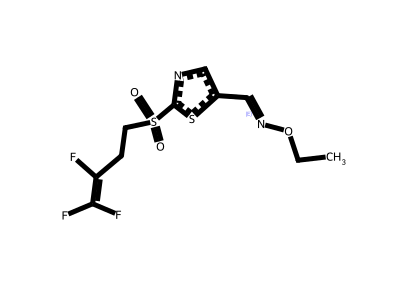 CCO/N=C/c1cnc(S(=O)(=O)CCC(F)=C(F)F)s1